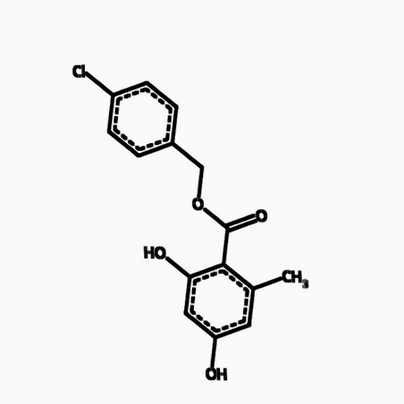 Cc1cc(O)cc(O)c1C(=O)OCc1ccc(Cl)cc1